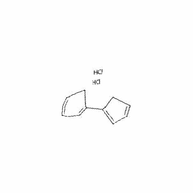 C1=CCC(C2=CC=CC2)=C1.Cl.Cl